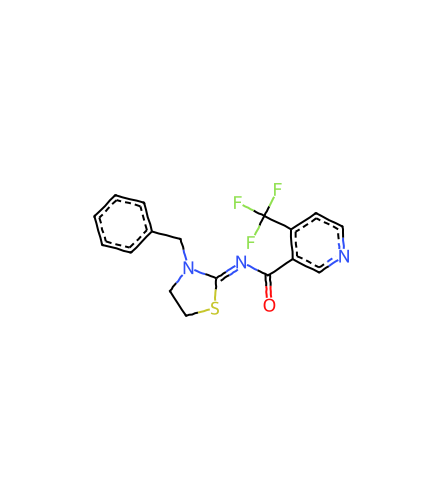 O=C(/N=C1\SCCN1Cc1ccccc1)c1cnccc1C(F)(F)F